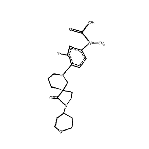 CN(C(=O)O)c1ccc(N2CCC[C@]3(CCN(C4CCOCC4)C3=O)C2)c(F)c1